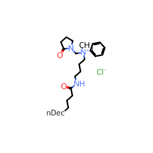 CCCCCCCCCCCCCC(=O)NCCCC[N+](C)(CN1CCCC1=O)c1ccccc1.[Cl-]